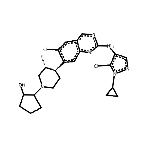 OC1CCCC1N1CC[C@H](c2cc3nc(Nc4cnn(C5CC5)c4Cl)ncc3cc2Cl)[C@@H](F)C1